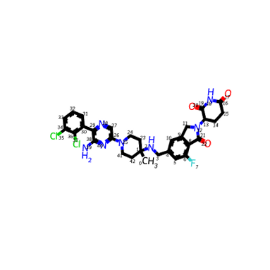 CC1(NCc2cc(F)c3c(c2)CN(C2CCC(=O)NC2=O)C3=O)CCN(c2cnc(-c3cccc(Cl)c3Cl)c(N)n2)CC1